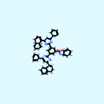 c1ccc(-c2cc(-c3cccc4ccccc34)nc(-c3cc(-c4nc(-c5ccccc5)cc(-c5cccc6ccccc56)n4)cc(-c4nc5ccccc5o4)c3)n2)cc1